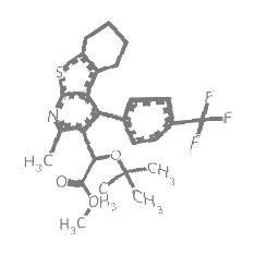 COC(=O)C(OC(C)(C)C)c1c(C)nc2sc3c(c2c1-c1ccc(C(F)(F)F)cc1)CCCC3